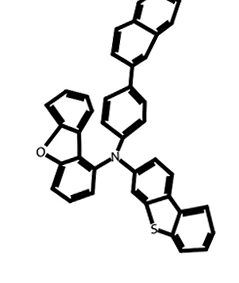 c1ccc2cc(-c3ccc(N(c4ccc5c(c4)sc4ccccc45)c4cccc5oc6ccccc6c45)cc3)ccc2c1